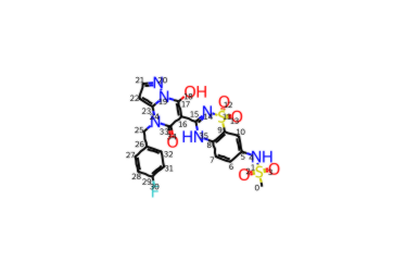 CS(=O)(=O)Nc1ccc2c(c1)S(=O)(=O)N=C(c1c(O)n3nccc3n(Cc3ccc(F)cc3)c1=O)N2